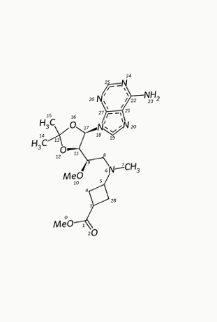 COC(=O)C1CC(N(C)C[C@@H](OC)[C@H]2OC(C)(C)O[C@H]2n2cnc3c(N)ncnc32)C1